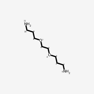 NCCCOCCOCCCN